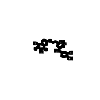 CCn1c(=O)c2cc(OCCC(C)CC(=O)Nc3ccc(C#N)c(Cl)c3)ccc2n(CC)c1=O